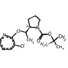 CC(Oc1ncccc1Cl)[C@H]1CCCN1C(=O)OC(C)(C)C